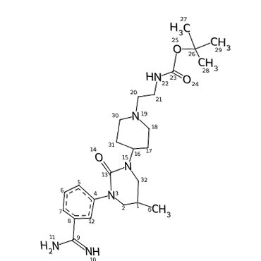 CC1CN(c2cccc(C(=N)N)c2)C(=O)N(C2CCN(CCNC(=O)OC(C)(C)C)CC2)C1